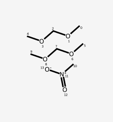 COCOC.COCOC.C[N+](=O)[O-]